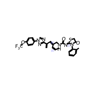 C=C(/C=C(\C=C/C)CNC(=O)/N=C1\SCC(=O)N1c1ccccc1C)c1ncn(-c2ccc(OC(F)(F)F)cc2)n1